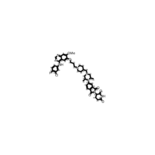 COc1cc2ncnc(Nc3ccc(F)c(Cl)c3)c2cc1OCCCN1CCC(CN2CC(C)N(c3ccc4c(c3)C(=O)N(C3CCC(=O)NC3=O)C4=O)C(C)C2)CC1